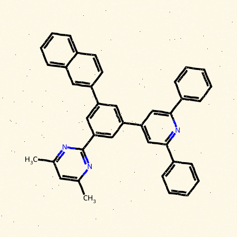 Cc1cc(C)nc(-c2cc(-c3cc(-c4ccccc4)nc(-c4ccccc4)c3)cc(-c3ccc4ccccc4c3)c2)n1